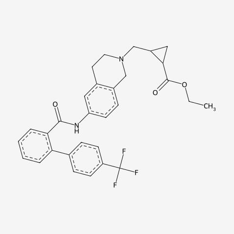 CCOC(=O)C1CC1CN1CCc2cc(NC(=O)c3ccccc3-c3ccc(C(F)(F)F)cc3)ccc2C1